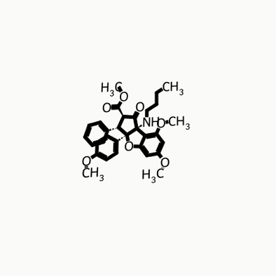 CCCCN[C@@]12C(=O)[C@H](C(=O)OC)[C@@H](c3ccccc3)[C@]1(c1ccc(OC)cc1)Oc1cc(OC)cc(OC)c12